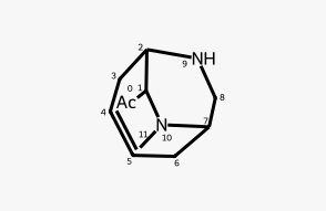 CC(=O)C1C2C/C=C\CC(CN2)N1C